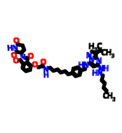 CCCCCCNNc1cc(NCc2ccc(CCCCCCNC(=O)COc3cccc4c3C(=O)N(C3CCC(=O)NC3=O)C4=O)cc2)n2ncc(C(C)C)c2n1